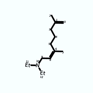 C=C(C)CCC/C(C)=C\CN(CC)CC